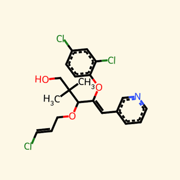 CC(C)(CO)C(OCC=CCl)C(=Cc1cccnc1)Oc1ccc(Cl)cc1Cl